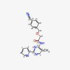 Cc1cnc(-c2ccccn2)nc1NC(=O)COCc1ccc(C#N)cc1